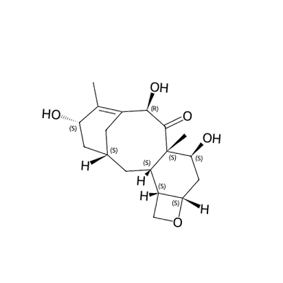 CC1=C2C[C@@H](C[C@@H]1O)C[C@H]1[C@H]3CO[C@H]3C[C@H](O)[C@@]1(C)C(=O)[C@@H]2O